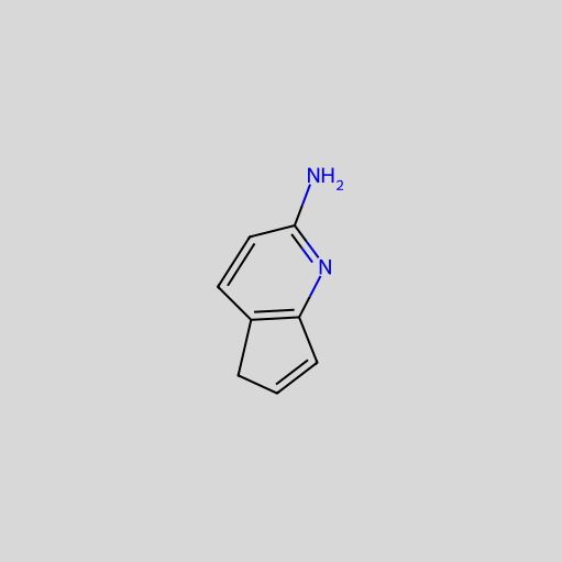 Nc1ccc2c(n1)C=CC2